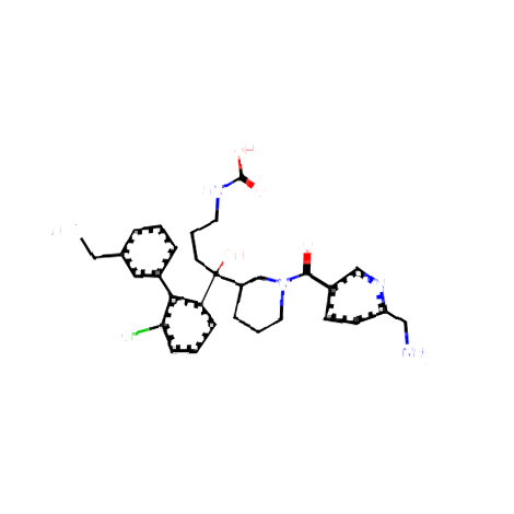 CCc1cccc(-c2c(Cl)cccc2C(O)(CCCNC(=O)O)C2CCCN(C(=O)c3ccc(CN)nc3)C2)c1